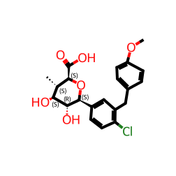 COc1ccc(Cc2cc([C@@H]3O[C@H](C(=O)O)[C@@H](C)[C@H](O)[C@H]3O)ccc2Cl)cc1